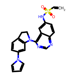 C=CS(=O)(=O)Nc1ccc2ncnc(N3CCc4ccc(-n5cccc5)cc43)c2c1